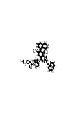 C=CC(=O)N1CCC2[C@H]1CN2c1nc(OCC23CCCN2CCC3)nc2cc(-c3cccc4cccc(Cl)c34)c(Cl)cc12